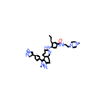 CCCc1cc(C(=O)NCCN2CCN(C)CC2)ccc1NC1=C/C=C/C2=C(/C=N\1)CCc1nn(C)c(-c3ccc(-c4cnn(C)c4)cc3)c12